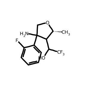 C[C@H]1OCC(N)(c2ccccc2F)C1C(O)C(F)(F)F